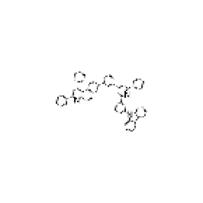 c1ccc(-c2cc(-c3cccc(-c4ccc5c(ccc6nc(-c7ccccc7)cc(-c7ccccc7)c65)c4)c3)cc(-c3cccc(-n4c5ccccc5c5ccccc54)c3)n2)cc1